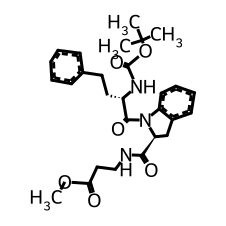 COC(=O)CCNC(=O)[C@@H]1Cc2ccccc2N1C(=O)[C@H](CCc1ccccc1)NC(=O)OC(C)(C)C